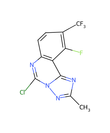 Cc1nc2c3c(F)c(C(F)(F)F)ccc3nc(Cl)n2n1